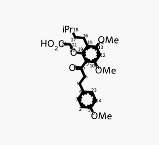 COc1ccc(CCC(=O)c2c(OC)cc(OC)c(CCC(C)C)c2OCC(=O)O)cc1